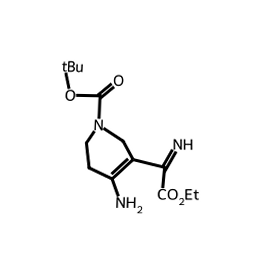 CCOC(=O)C(=N)C1=C(N)CCN(C(=O)OC(C)(C)C)C1